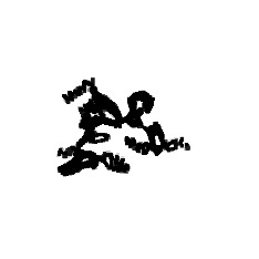 CNc1cc(-c2cn([C@@H]3CN(C)C[C@H]3OC)c3ncccc23)nc2c(C(=O)NC3CC[C@@H]3OC)cnn12